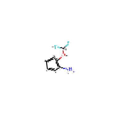 Nc1ccc[c]c1OC(F)F